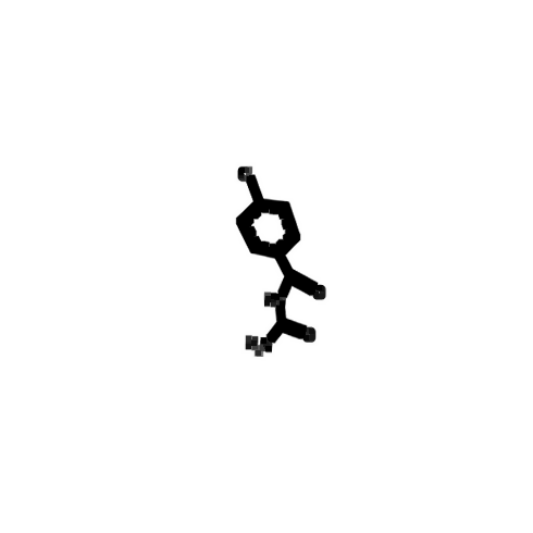 NC(=O)NC(=O)c1ccc(Cl)cc1